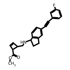 COC(=O)C1C=CC1CNC1CCc2cc(C#Cc3cccc(F)c3)ccc21